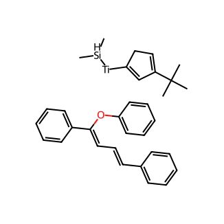 C(=Cc1ccccc1)C=C(Oc1ccccc1)c1ccccc1.C[SiH](C)[Ti][C]1=CC(C(C)(C)C)=CC1